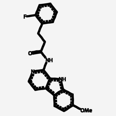 COc1ccc2c(c1)[nH]c1c(NC(=O)CCc3ccccc3F)nccc12